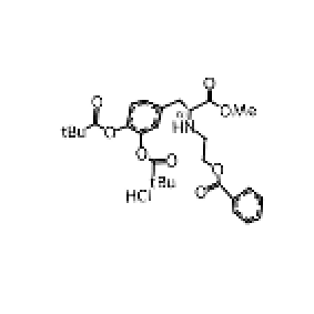 COC(=O)[C@H](Cc1ccc(OC(=O)C(C)(C)C)c(OC(=O)C(C)(C)C)c1)NCCOC(=O)c1ccccc1.Cl